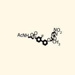 CC(=O)NCC1CN(c2ccc(-c3cccc(OCC4(C)Cn5cc([N+](=O)[O-])nc5O4)c3)c(F)c2)C(=O)O1